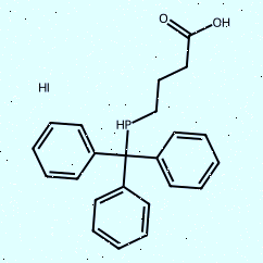 I.O=C(O)CCCPC(c1ccccc1)(c1ccccc1)c1ccccc1